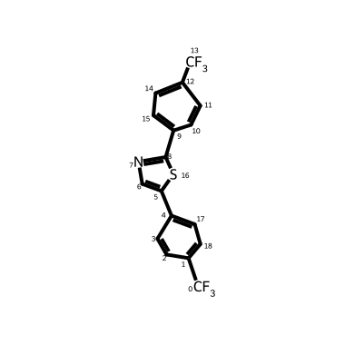 FC(F)(F)c1ccc(-c2cnc(-c3ccc(C(F)(F)F)cc3)s2)cc1